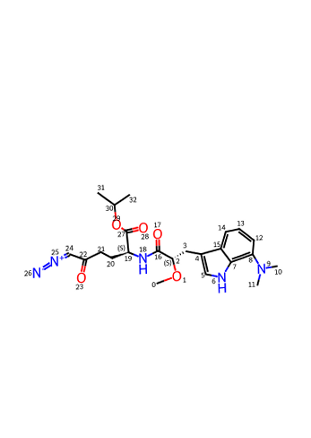 CO[C@@H](Cc1c[nH]c2c(N(C)C)cccc12)C(=O)N[C@@H](CCC(=O)C=[N+]=[N-])C(=O)OC(C)C